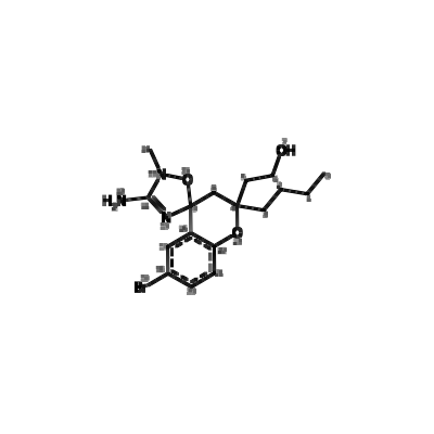 CCCCC1(CCO)CC2(N=C(N)N(C)O2)c2cc(Br)ccc2O1